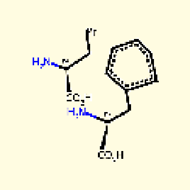 CC(C)C[C@H](N)C(=O)O.N[C@@H](Cc1ccccc1)C(=O)O